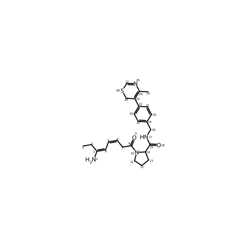 CC/C(N)=C\C=C/CC(=O)N1CCCC1C(=O)NCc1ccc(C2=C(C)N=CSC2)cc1